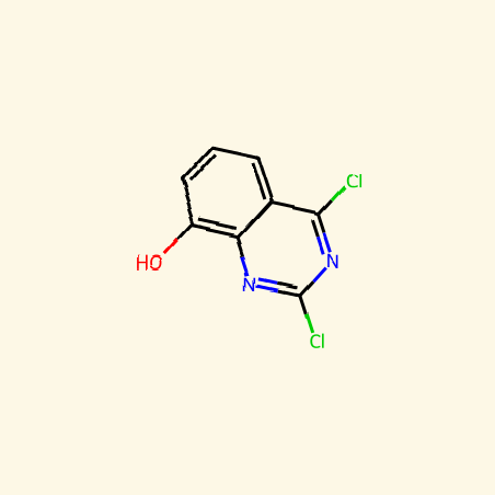 Oc1cccc2c(Cl)nc(Cl)nc12